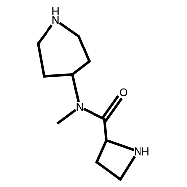 CN(C(=O)C1CCN1)C1CCNCC1